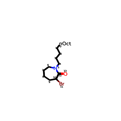 CCCCCCCCCCCCN1CCCCC(Br)C1=O